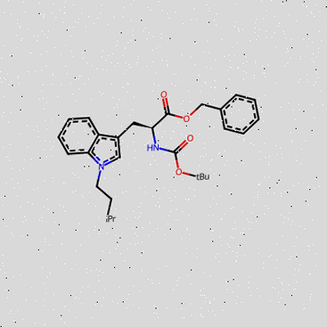 CC(C)CCn1cc(C[C@H](NC(=O)OC(C)(C)C)C(=O)OCc2ccccc2)c2ccccc21